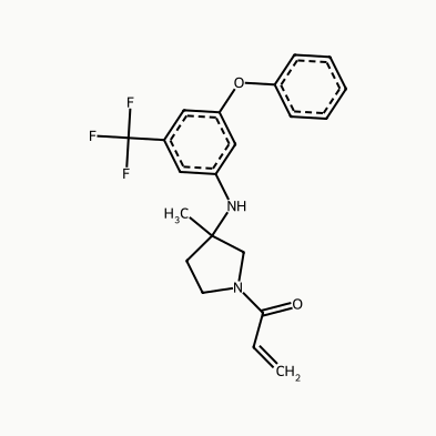 C=CC(=O)N1CCC(C)(Nc2cc(Oc3ccccc3)cc(C(F)(F)F)c2)C1